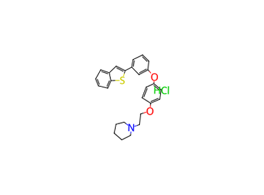 Cl.c1cc(Oc2ccc(OCCN3CCCCC3)cc2)cc(-c2cc3ccccc3s2)c1